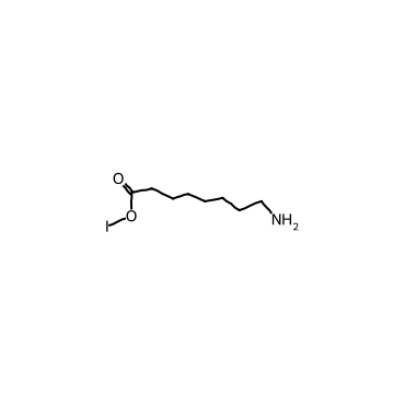 NCCCCCCCC(=O)OI